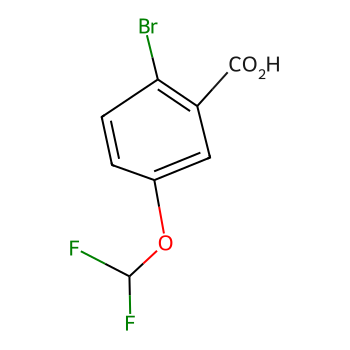 O=C(O)c1cc(OC(F)F)ccc1Br